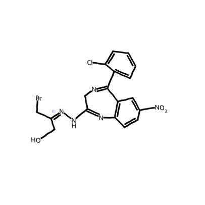 O=[N+]([O-])c1ccc2c(c1)C(c1ccccc1Cl)=NCC(N/N=C(\CO)CBr)=N2